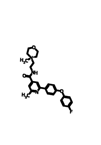 Cc1cc(C(=O)NCC[N+]2(C)CCOCC2)cc(-c2ccc(Oc3ccc(F)cc3)cc2)n1